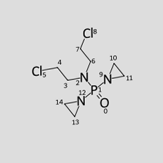 O=P(N(CCCl)CCCl)(N1CC1)N1CC1